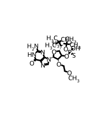 COCCO[C@H]1C(OP(O)(=S)OC(C)(C)C)[C@@H](CC(C)(C)C)O[C@H]1n1cnc2c(=O)[nH]c(N)nc21